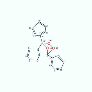 C1=CC2C(C=C1)C1(c3ccccc3)OOC2(c2ccccc2)O1